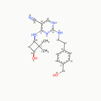 CC1(C)[C@@H](O)C[C@H]1Nc1nc(NCCc2ccc(CO)cc2)ncc1C#N